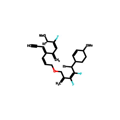 C#C/C=C(\C=C/COCC(=C)/C(F)=C(/F)C(CC)C1C=CC(OC)CC1)C(=C)/C=C(/F)[C@H](CC)OC